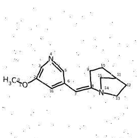 COc1cncc(C=C2CCC3CCN2C3)c1